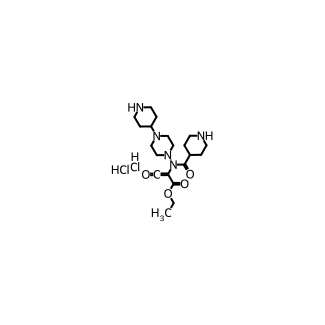 CCOC(=O)C(=C=O)N(C(=O)C1CCNCC1)N1CCN(C2CCNCC2)CC1.Cl.Cl